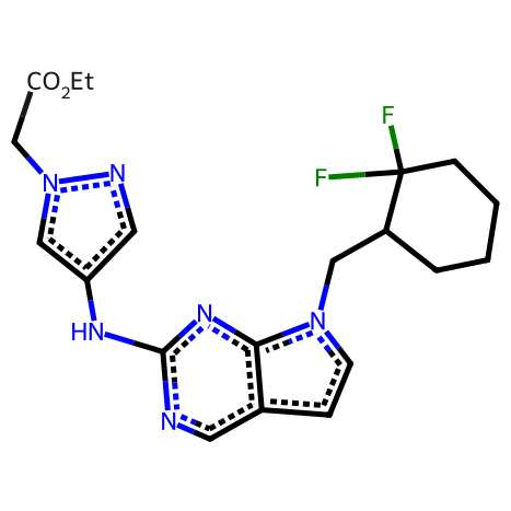 CCOC(=O)Cn1cc(Nc2ncc3ccn(CC4CCCCC4(F)F)c3n2)cn1